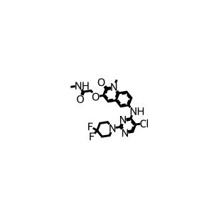 CNC(=O)COc1cc2cc(Nc3nc(N4CCC(F)(F)CC4)ncc3Cl)ccc2n(C)c1=O